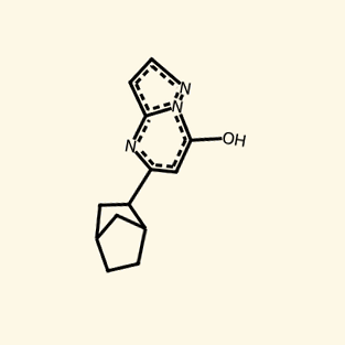 Oc1cc(C2CC3CCC2C3)nc2ccnn12